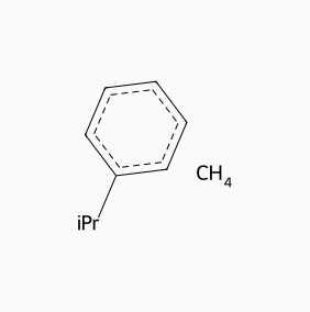 C.CC(C)c1ccccc1